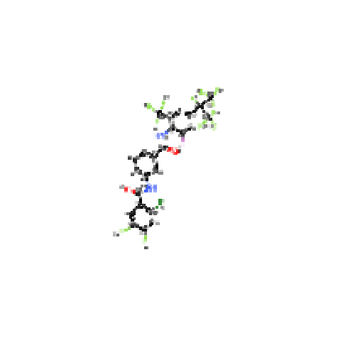 O=C(Nc1c(I)cc(C(F)(C(F)(F)F)C(F)(F)F)cc1C(F)(F)F)c1cccc(NC(=O)c2cc(F)c(F)cc2Cl)c1